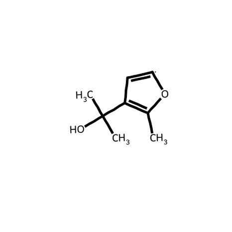 Cc1o[c]cc1C(C)(C)O